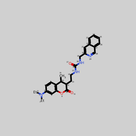 CCN(CC)c1ccc2c(c1)OC(=O)C(CCNC(=O)NCc1cc3ccccc3cn1)C2C